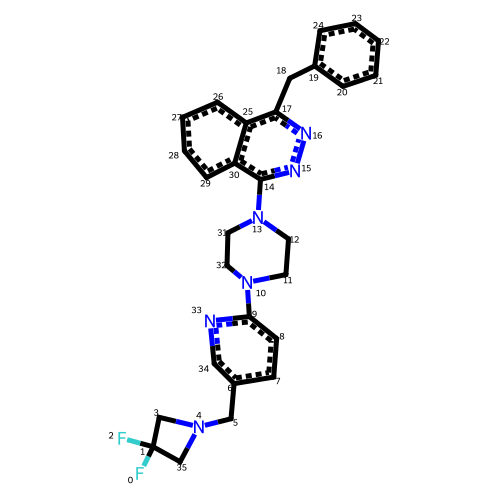 FC1(F)CN(Cc2ccc(N3CCN(c4nnc(Cc5ccccc5)c5ccccc45)CC3)nc2)C1